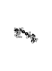 COC(=O)NCC(=O)N1[C@@H]2C[C@@H]2C[C@H]1c1nc(Cl)c(-c2ccc(-c3ccc(-c4[nH]c([C@@H]5CCC(C)N5C(=O)[C@@H](NC(=O)OI)C5CCOCC5)nc4Cl)cc3)cc2)[nH]1